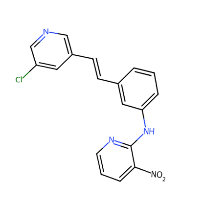 O=[N+]([O-])c1cccnc1Nc1cccc(/C=C/c2cncc(Cl)c2)c1